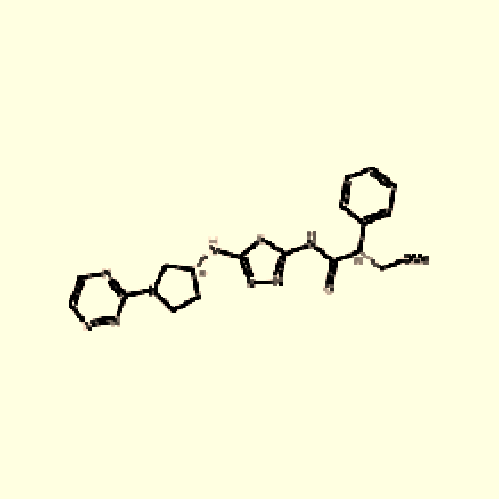 COC[C@H](C(=O)Nc1nnc(N[C@@H]2CCN(c3nccnn3)C2)s1)c1ccccc1